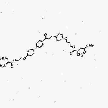 C=C(CO)C(=O)OCCOc1ccc(-c2ccc(C(=O)/C=C/c3ccc(OCCCOC(=O)C(=C)CC(=O)OC)cc3)cc2)cc1